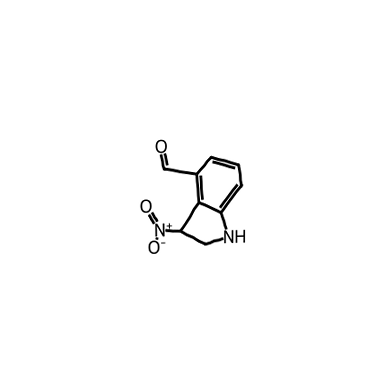 O=Cc1cccc2c1C([N+](=O)[O-])CN2